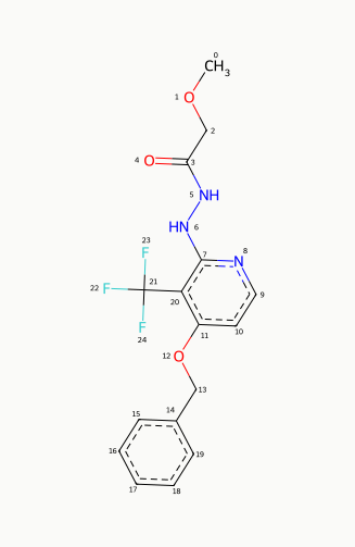 COCC(=O)NNc1nccc(OCc2ccccc2)c1C(F)(F)F